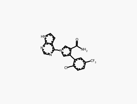 NC(=O)c1cn(-c2ncnc3[nH]ccc23)cc1-c1cc(C(F)(F)F)ccc1Cl